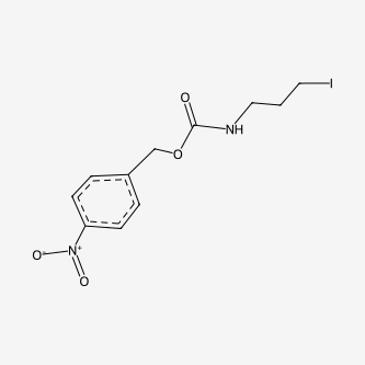 O=C(NCCCI)OCc1ccc([N+](=O)[O-])cc1